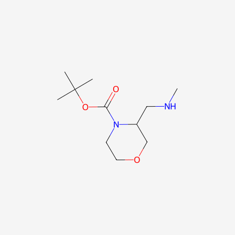 CNCC1COCCN1C(=O)OC(C)(C)C